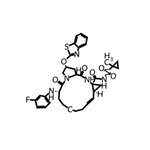 CC1(S(=O)(=O)NC(=O)[C@@]23C[C@H]2/C=C\CCCCC[C@H](Nc2cccc(F)c2)C(=O)N2C[C@H](Oc4nc5ccccc5s4)C[C@H]2C(=O)N3)CC1